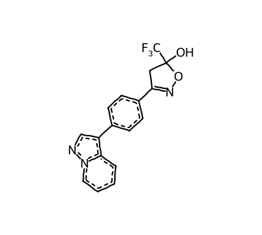 OC1(C(F)(F)F)CC(c2ccc(-c3cnn4ccccc34)cc2)=NO1